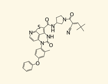 Cc1cc(Oc2ccccc2)ccc1N1C(=O)Nc2c(C(=O)NC3CCN(C(=O)C(C#N)=CC(C)(C)C)C3)sc3nccc1c23